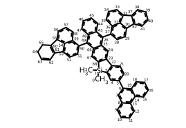 C[Si]1(C)c2cc(-c3cc4ccccc4c4ccccc34)ccc2-c2cc3c(-c4ccc5c6c(cccc46)-c4ccccc4-5)c4ccccc4c(-c4ccc5c6c(cccc46)C4=C5C=CCC4)c3cc21